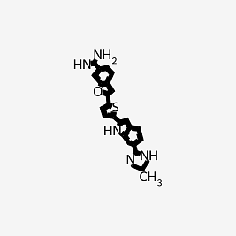 CC1CN=C(c2ccc3cc(-c4ccc(-c5cc6ccc(C(=N)N)cc6o5)s4)[nH]c3c2)NC1